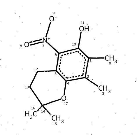 Cc1c(C)c2c(c([N+](=O)[O-])c1O)CCC(C)(C)O2